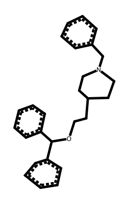 c1ccc(CN2CCC(CCOC(c3ccccc3)c3ccccc3)CC2)cc1